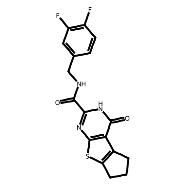 O=C(NCc1ccc(F)c(F)c1)c1nc2sc3c(c2c(=O)[nH]1)CCC3